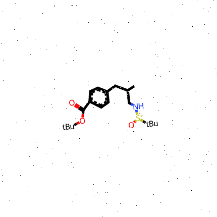 CC(CN[S+]([O-])C(C)(C)C)Cc1ccc(C(=O)OC(C)(C)C)cc1